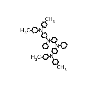 Cc1ccc(N(c2ccc(C)cc2)c2ccc(N(c3ccccc3)c3cccc(N(c4ccccc4)c4ccc(N(c5ccc(C)cc5)c5ccc(C)cc5)cc4)c3)cc2)cc1